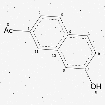 CC(=O)c1ccc2ccc(O)cc2c1